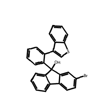 OC1(c2ccccc2-c2csc3ccccc23)c2ccccc2-c2ccc(Br)cc21